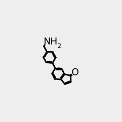 NCc1ccc(-c2ccc3c(c2)C(=O)C=C3)cc1